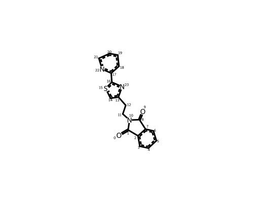 O=C1c2ccccc2C(=O)N1CCc1csc(-c2ccccn2)n1